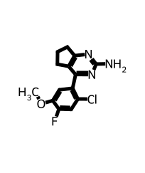 COc1cc(-c2nc(N)nc3c2CCC3)c(Cl)cc1F